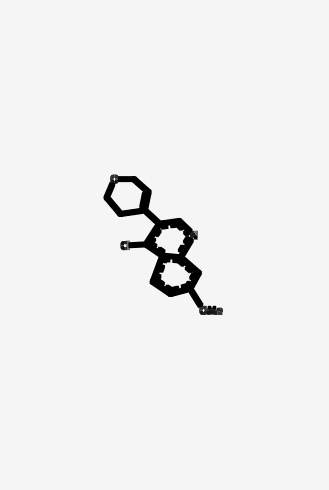 COc1ccc2c(Cl)c(C3=CCOCC3)cnc2c1